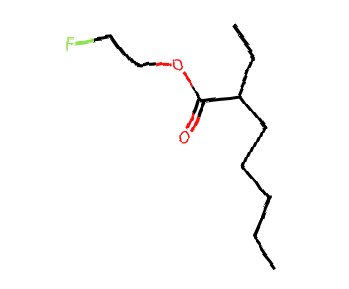 CCCCCC(CC)C(=O)OCCF